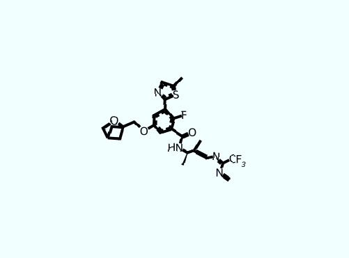 C=N/C(=N\C=C(/C)[C@@H](C)NC(=O)c1cc(OCC23CC(CO2)C3)cc(-c2ncc(C)s2)c1F)C(F)(F)F